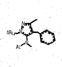 CC(=O)N(C)c1c(-c2ccccc2)c(C)nn1C(C)(C)C